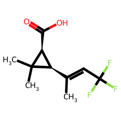 CC(=CC(F)(F)F)[C@@H]1[C@H](C(=O)O)C1(C)C